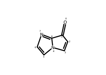 O=C1C=Cn2ccnc21